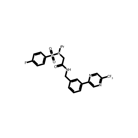 CC(C)N(CC(=O)NCc1cccc(-c2cnc(C(F)(F)F)cn2)c1)S(=O)(=O)c1ccc(F)cc1